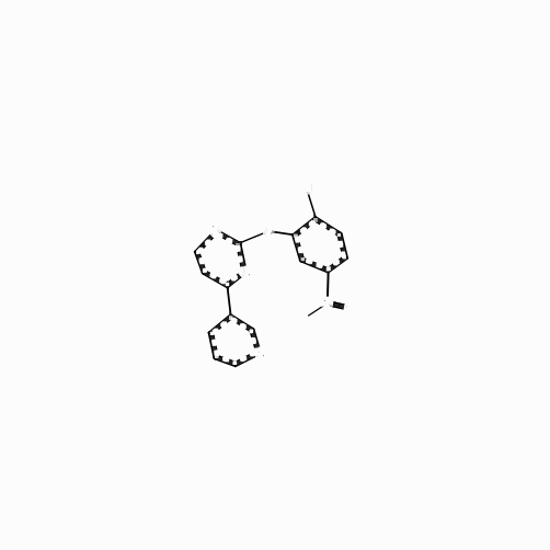 Cc1ccc([N+](=O)O)cc1Nc1nccc(-c2cccnc2)n1